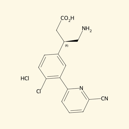 Cl.N#Cc1cccc(-c2cc([C@H](CN)CC(=O)O)ccc2Cl)n1